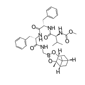 COC(=O)N[C@H](C(=O)N[C@@H](Cc1ccccc1)C(=O)N[C@@H](Cc1ccccc1)C(=O)NCB1O[C@@H]2C[C@@H]3C[C@@H](C3(C)C)[C@]2(C)O1)C(C)C